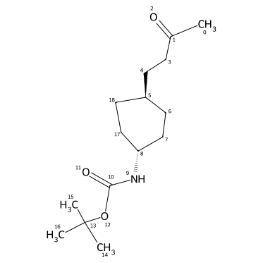 CC(=O)CC[C@H]1CC[C@H](NC(=O)OC(C)(C)C)CC1